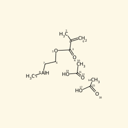 C=C(C)C(=O)OC[CH2][AlH][CH3].CC(=O)O.CC(=O)O